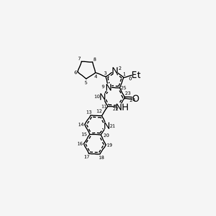 CCc1nc(C2CCCC2)n2nc(-c3ccc4ccccc4n3)[nH]c(=O)c12